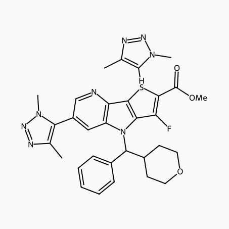 COC(=O)C1=C(F)c2c(c3ncc(-c4c(C)nnn4C)cc3n2C(c2ccccc2)C2CCOCC2)[SH]1c1c(C)nnn1C